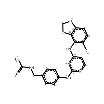 CC(=O)NCc1ccc(Nc2nccc(Nc3c(Cl)ccc4c3OCO4)n2)cc1